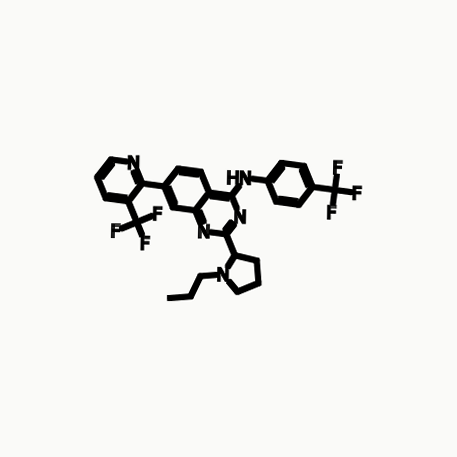 CCCN1CCCC1c1nc(Nc2ccc(C(F)(F)F)cc2)c2ccc(-c3ncccc3C(F)(F)F)cc2n1